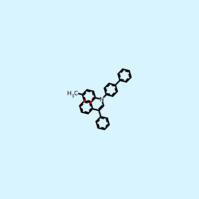 Cc1ccc(N(C=C(c2ccccc2)c2ccccc2)c2ccc(-c3ccccc3)cc2)cc1